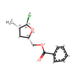 C[C@H]1C[C@@H](COC(=O)c2ccccc2)O[C@@H]1Br